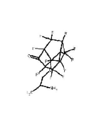 CC(N)COC1(F)C2(F)C(=O)C3(F)C(F)(F)C(F)(C2(F)F)C(F)(F)C1(F)C3(F)F